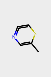 CC1=CN=C=CS1